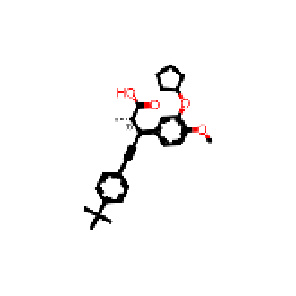 COc1ccc(C(C#Cc2ccc(C(C)(C)C)cc2)[C@H](C)C(=O)O)cc1OC1CCCC1